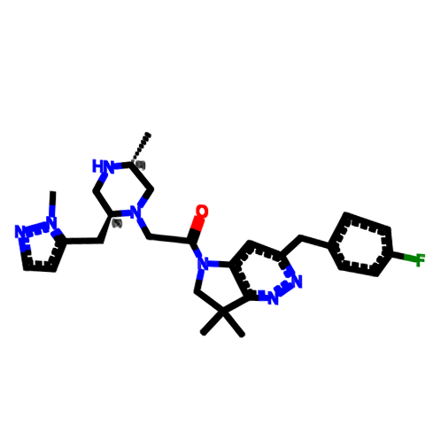 C[C@@H]1CN(CC(=O)N2CC(C)(C)c3nnc(Cc4ccc(F)cc4)cc32)[C@@H](Cc2ccnn2C)CN1